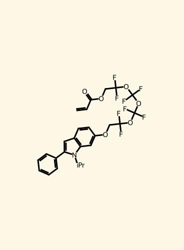 C=CC(=O)OCC(F)(F)OC(F)(F)OC(F)(F)OC(F)(F)COc1ccc2cc(-c3ccccc3)n(C(C)C)c2c1